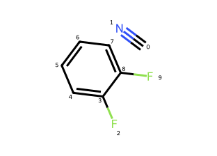 C#N.Fc1ccccc1F